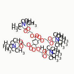 CN1C(C)(C)CC2(CC1(C)C)OCC(COC(=O)c1cc(C(=O)OCC3COC4(CC(C)(C)N(C)C(C)(C)C4)O3)c(C(=O)OCC3COC4(CC(C)(C)N(C)C(C)(C)C4)O3)cc1C(=O)OCC1COC3(CC(C)(C)N(C)C(C)(C)C3)O1)O2